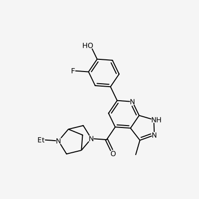 CCN1CC2CC1CN2C(=O)c1cc(-c2ccc(O)c(F)c2)nc2[nH]nc(C)c12